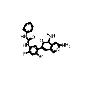 CNC1C(=O)C(c2cc(NC(=O)Nc3ccccc3)c(F)cc2Br)=Cc2cnc(N)cc21